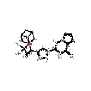 O=C(c1cn(-c2nn3cccc3c(=O)[nH]2)nn1)N1CC2CC(C1)N2CC(F)(F)F